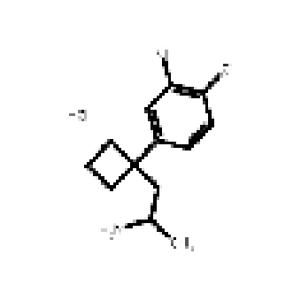 CC(N)CC1(c2ccc(Cl)c(Cl)c2)CCC1.Cl